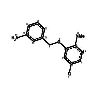 CNc1ncc(Cl)cc1OCc1cccc(N)c1